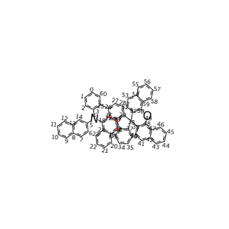 c1ccc(N(c2ccc3ccccc3c2)c2cccc3ccccc23)c(-c2ccc3c(c2)-c2ccccc2C32c3ccc4ccccc4c3Oc3c2ccc2ccccc32)c1